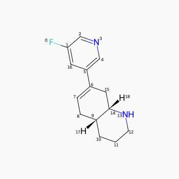 Fc1cncc(C2=CC[C@H]3CCCN[C@H]3C2)c1